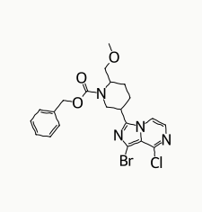 COCC1CCC(c2nc(Br)c3c(Cl)nccn23)CN1C(=O)OCc1ccccc1